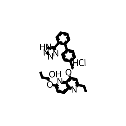 CCc1cc(OCc2ccc(-c3ccccc3-c3nnn[nH]3)cc2)c2nc(OC(O)CC)ccc2n1.Cl